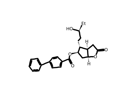 CC[C@H](O)CC[C@@H]1[C@H]2CC(=O)O[C@H]2C[C@H]1OC(=O)c1ccc(-c2ccccc2)cc1